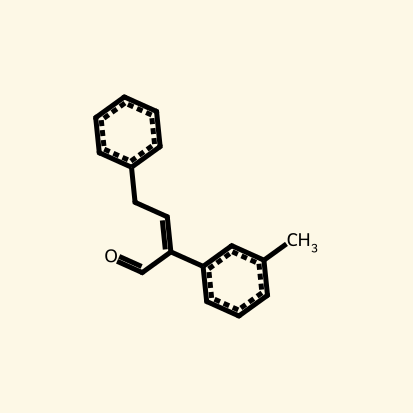 Cc1cccc(C(C=O)=CCc2ccccc2)c1